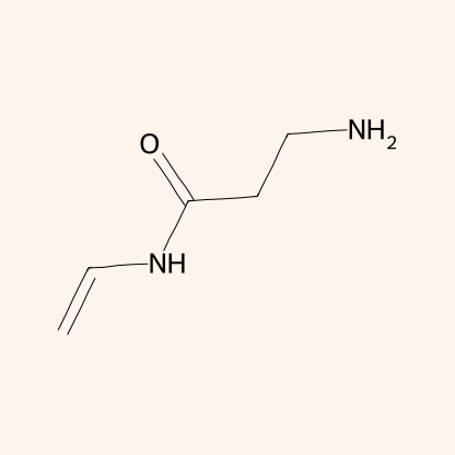 C=CNC(=O)CCN